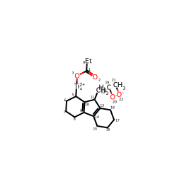 CCC(=O)[O][Ti+2][CH]1CCCC2=C1C(C)C1=C2CCCC1.C[O-].C[O-]